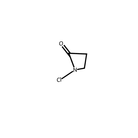 O=C1CCN1Cl